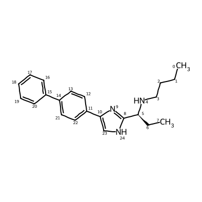 CCCCN[C@@H](CC)c1nc(-c2ccc(-c3ccccc3)cc2)c[nH]1